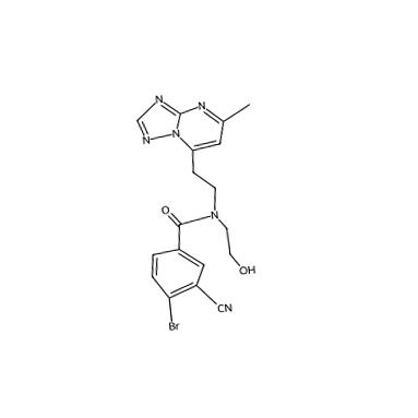 Cc1cc(CCN(CCO)C(=O)c2ccc(Br)c(C#N)c2)n2ncnc2n1